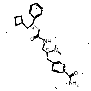 CN(C)[C@H](CNC(=O)C[C@H](CC1CCC1)c1ccccc1)Cc1ccc(C(N)=O)cc1